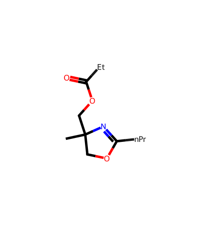 CCCC1=NC(C)(COC(=O)CC)CO1